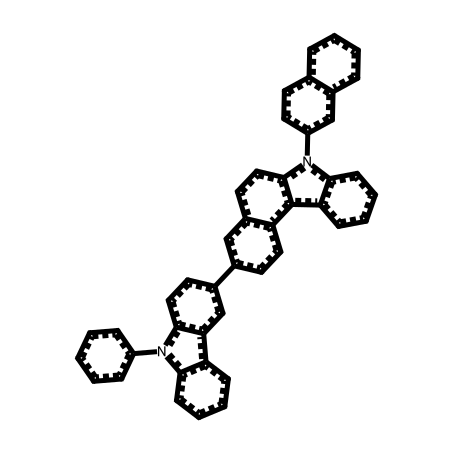 c1ccc(-n2c3ccccc3c3cc(-c4ccc5c(ccc6c5c5ccccc5n6-c5ccc6ccccc6c5)c4)ccc32)cc1